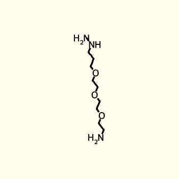 NCCOCCOCCOCCCNN